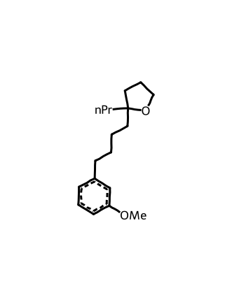 CCCC1(CCCCc2cccc(OC)c2)CCCO1